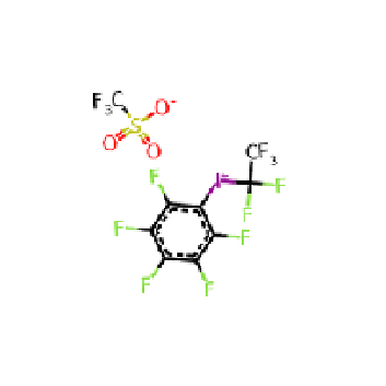 Fc1c(F)c(F)c([I+]C(F)(F)C(F)(F)F)c(F)c1F.O=S(=O)([O-])C(F)(F)F